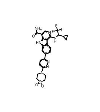 NC(=O)c1cnc(NC(C2CC2)C(F)(F)F)c2c1[nH]c1cc(-c3ccc(N4CCS(=O)(=O)CC4)nn3)ccc12